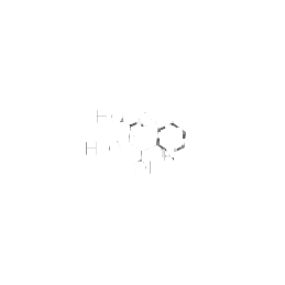 C[C@H](C(=O)O)C(O)c1ccccn1